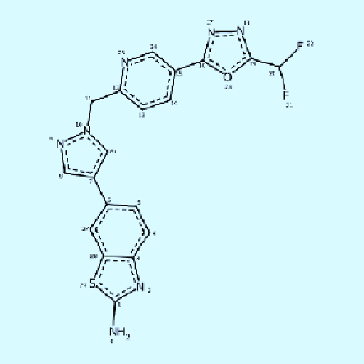 Nc1nc2ccc(-c3cnn(Cc4ccc(-c5nnc(C(F)F)o5)cn4)c3)cc2s1